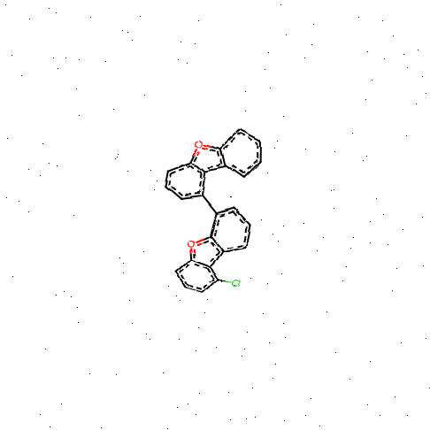 Clc1cccc2oc3c(-c4cccc5oc6ccccc6c45)cccc3c12